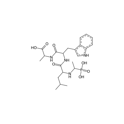 CC(C)CC(NC(C)P(=O)(O)O)C(=O)NC(Cc1c[nH]c2ccccc12)C(=O)NC(C)C(=O)O